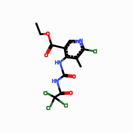 CCOC(=O)c1cnc(Cl)c(C)c1NC(=O)NC(=O)C(Cl)(Cl)Cl